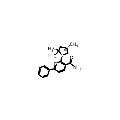 C[C@@H]1CN(c2nc(-c3ccccc3)ccc2C(N)=O)C(C)(C)C1